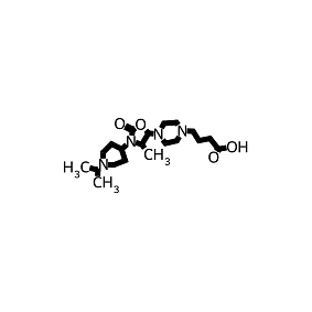 CC(C)N1CCC(N2C(=O)OC(N3CCN(CCCC(=O)O)CC3)C2C)CC1